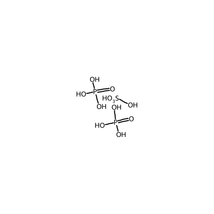 O=P(O)(O)O.O=P(O)(O)O.O=S(=O)(O)O